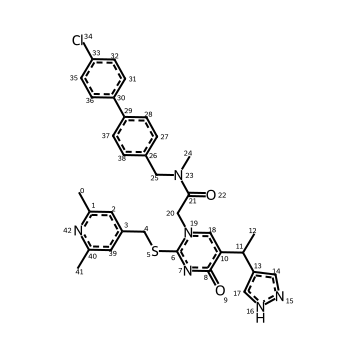 Cc1cc(CSc2nc(=O)c(C(C)c3cn[nH]c3)cn2CC(=O)N(C)Cc2ccc(-c3ccc(Cl)cc3)cc2)cc(C)n1